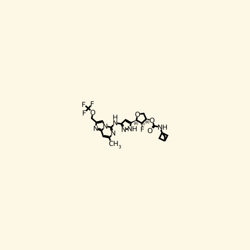 Cc1cc2nc(COC(F)(F)F)cn2c(Nc2cc([C@H]3OC[C@@H](OC(=O)NC45CC(C4)C5)[C@@H]3F)[nH]n2)n1